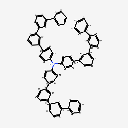 c1ccc(-c2cccc(-c3cccc(-c4ccc(N(c5ccc(-c6cccc(-c7cccc(-c8ccccc8)c7)c6)cc5)c5ccc(-c6cccc(-c7cccc(-c8ccccc8)c7)c6)cc5)cc4)c3)c2)cc1